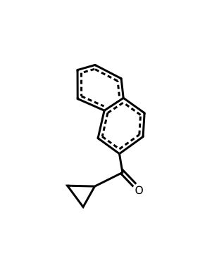 O=C(c1ccc2ccccc2c1)C1CC1